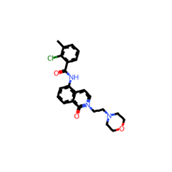 Cc1cccc(C(=O)Nc2cccc3c(=O)n(CCN4CCOCC4)ccc23)c1Cl